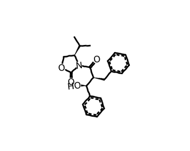 CC(C)[C@@H]1COC(=O)N1C(=O)[C@@H](Cc1ccccc1)[C@H](O)c1ccccc1